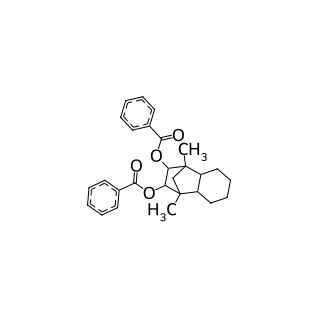 CC12CC(C)(C3CCCCC31)C(OC(=O)c1ccccc1)C2OC(=O)c1ccccc1